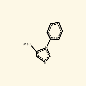 COc1cnnn1-c1ccccc1